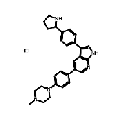 CN1CCN(c2ccc(-c3cnc4[nH]cc(-c5ccc(C6CCCN6)cc5)c4c3)cc2)CC1.Cl